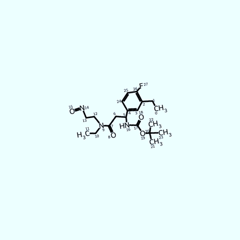 CCc1cc(C(CC(=O)N(CC)CCN=O)NC(=O)OC(C)(C)C)ccc1F